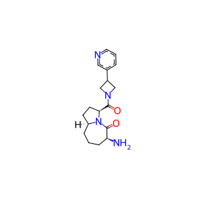 N[C@H]1CCC[C@H]2CC[C@@H](C(=O)N3CC(c4cccnc4)C3)N2C1=O